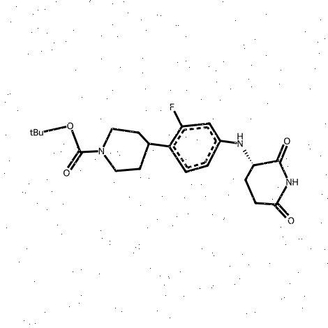 CC(C)(C)OC(=O)N1CCC(c2ccc(N[C@H]3CCC(=O)NC3=O)cc2F)CC1